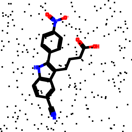 N#Cc1ccc2[nH]c(-c3ccc([N+](=O)[O-])cc3)c(CCCC(=O)O)c2c1